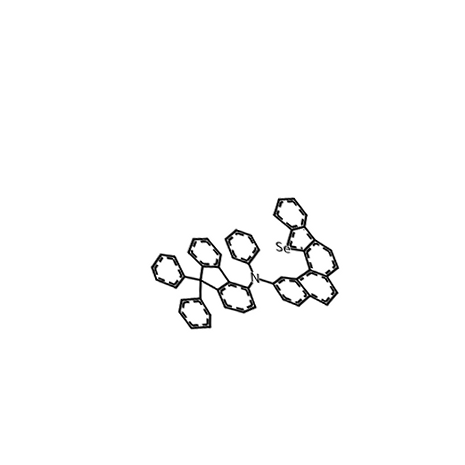 c1ccc(N(c2ccc3ccc4ccc5c6ccccc6[se]c5c4c3c2)c2cccc3c2-c2ccccc2C3(c2ccccc2)c2ccccc2)cc1